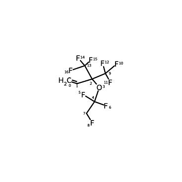 C=CC(OC(F)(F)CF)(C(F)(F)F)C(F)(F)F